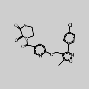 Cc1onc(-c2ccc(Cl)cc2)c1COc1ccc(C(=O)N2CCSC(=O)C2=O)cn1